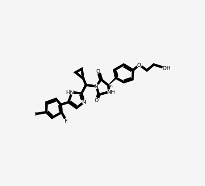 O=C1N[C@H](c2ccc(OCCO)cc2)C(=O)N1C(c1ncc(-c2ccc(I)cc2F)[nH]1)C1CC1